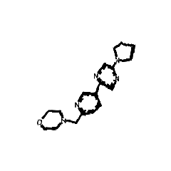 c1cc(CN2CCOCC2)ncc1-c1cnc(N2CCCC2)cn1